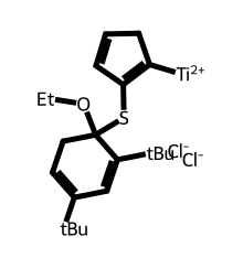 CCOC1(SC2=[C]([Ti+2])CC=C2)CC=C(C(C)(C)C)C=C1C(C)(C)C.[Cl-].[Cl-]